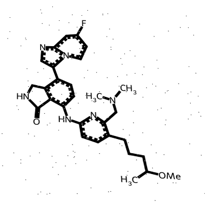 COC(C)CCCc1ccc(Nc2ccc(-c3cnc4cc(F)ccn34)c3c2C(=O)NC3)nc1CN(C)C